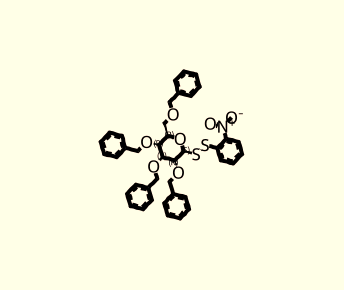 O=[N+]([O-])c1ccccc1SS[C@@H]1O[C@H](COCc2ccccc2)[C@@H](OCc2ccccc2)[C@H](OCc2ccccc2)[C@H]1OCc1ccccc1